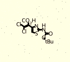 CC(C)(C)OC(=O)Nc1nc(C(C(=O)O)=C(Cl)Cl)cs1